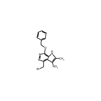 Cc1[nH]c2c(OCc3ccccc3)nnc(CC(C)C)c2c1[N+](=O)[O-]